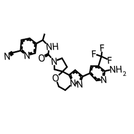 CC(NC(=O)N1CCC2(C1)OCCn1nc(-c3cnc(N)c(C(F)(F)F)c3)cc12)c1ccc(C#N)nc1